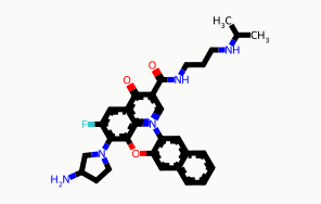 CC(C)NCCCNC(=O)c1cn2c3c(c(N4CCC(N)C4)c(F)cc3c1=O)Oc1cc3ccccc3cc1-2